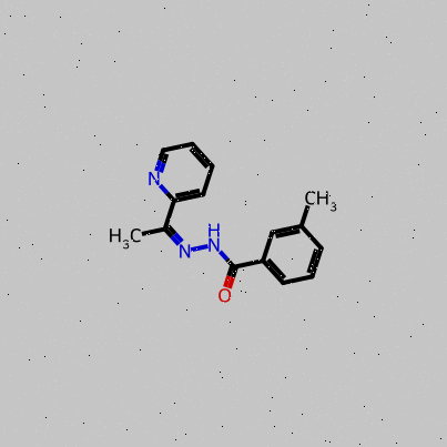 CC(=NNC(=O)c1cccc(C)c1)c1ccccn1